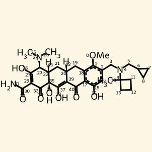 COc1c(CN(CC2CC2)C2(C)CCC2)cc(O)c2c1C[C@H]1C[C@H]3[C@H](N(C)C)C(O)=C(C(N)=O)C(=O)[C@@]3(O)C(O)=C1C2=O